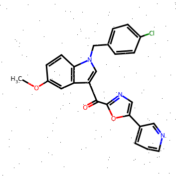 COc1ccc2c(c1)c(C(=O)c1ncc(-c3cccnc3)o1)cn2Cc1ccc(Cl)cc1